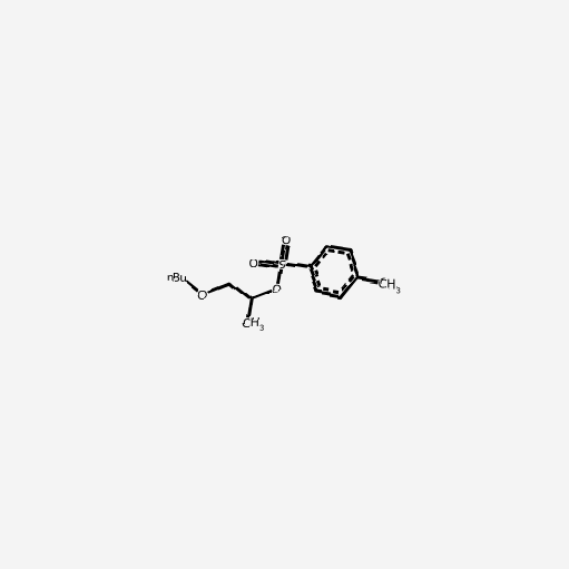 CCCCOCC(C)OS(=O)(=O)c1ccc(C)cc1